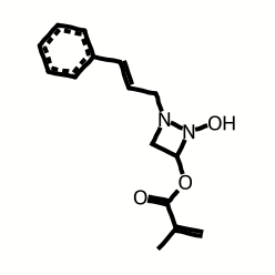 C=C(C)C(=O)OC1CN(CC=Cc2ccccc2)N1O